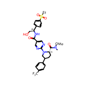 CCS(=O)(=O)c1ccc([C@H](CO)NC(=O)c2cnc(N3CC(c4ccc(C(F)(F)F)cc4)CC[C@H]3C(=O)N(C)OC)nc2)cc1